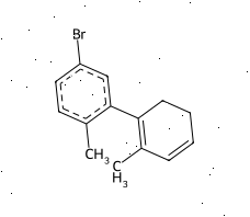 CC1=C(c2cc(Br)ccc2C)CCC=C1